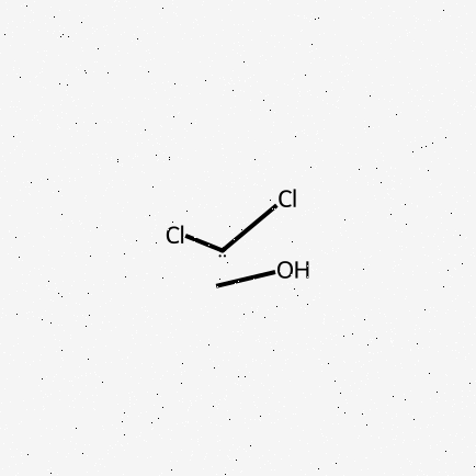 CO.Cl[C]Cl